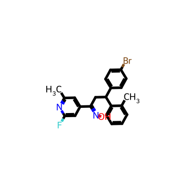 Cc1cc(/C(CC(c2ccc(Br)cc2)c2ccccc2C)=N/O)cc(F)n1